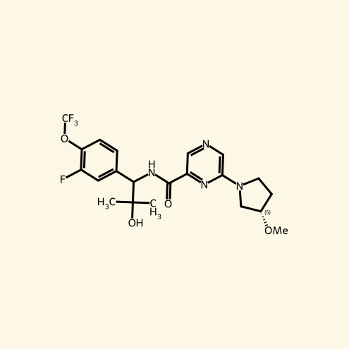 CO[C@H]1CCN(c2cncc(C(=O)NC(c3ccc(OC(F)(F)F)c(F)c3)C(C)(C)O)n2)C1